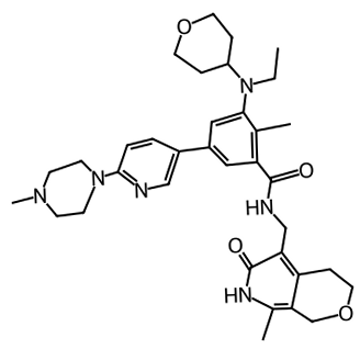 CCN(c1cc(-c2ccc(N3CCN(C)CC3)nc2)cc(C(=O)NCc2c3c(c(C)[nH]c2=O)COCC3)c1C)C1CCOCC1